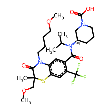 COCCCCN1C(=O)C(C)(COC)Sc2cc(C(F)(F)F)c(C(=O)N(C(C)C)[C@@H]3CCCN(C(=O)O)C3)cc21